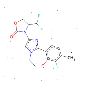 Cc1ccc2c(c1F)OCCn1cc(N3C(=O)OCC3C(F)F)nc1-2